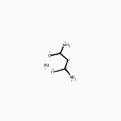 NC(Cl)CC(N)Cl.[Pd]